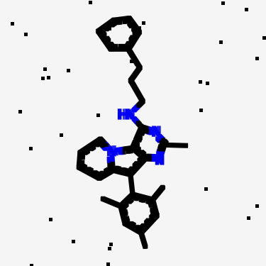 Cc1cc(C)c(-c2c3nc(C)nc(NCCCc4ccccc4)c3n3ccccc23)c(C)c1